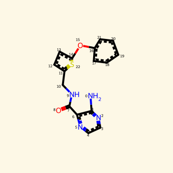 Nc1nccnc1C(=O)NCc1ccc(Oc2ccccc2)s1